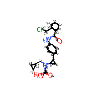 O=C(Nc1ccc(C2CC2N(CC2CC2)C(=O)O)cc1)c1ccccc1CCl